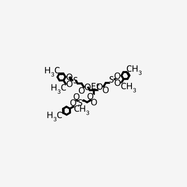 CCC(COC(=O)CCSC(=O)OC(C)C1CC=C(C)CC1)(COC(=O)CCSC(=O)OC(C)C1CC=C(C)CC1)COC(=O)CCSC(=O)OC(C)C1CC=C(C)CC1